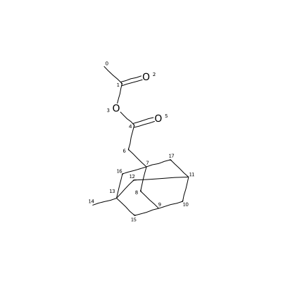 CC(=O)OC(=O)CC12CC3CC(CC(C)(C3)C1)C2